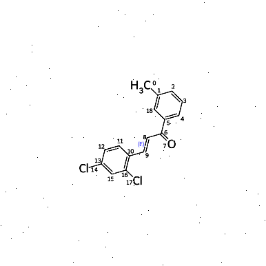 Cc1cccc(C(=O)/C=C/c2ccc(Cl)cc2Cl)c1